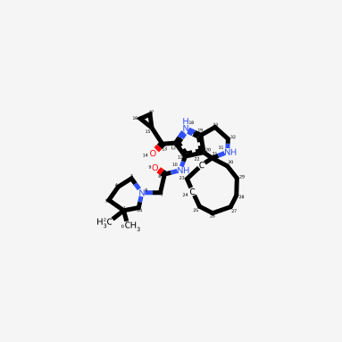 CC1(C)CCCN(CC(=O)Nc2c(C(=O)C3CC3)[nH]c3c2C2(CCCCCCCCC2)NCC3)C1